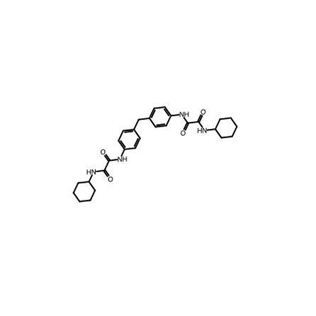 O=C(Nc1ccc(Cc2ccc(NC(=O)C(=O)NC3CCCCC3)cc2)cc1)C(=O)NC1CCCCC1